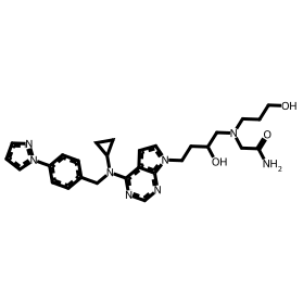 NC(=O)CN(CCCO)CC(O)CCn1ccc2c(N(Cc3ccc(-n4cccn4)cc3)C3CC3)ncnc21